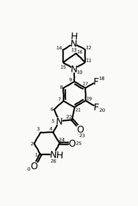 O=C1CCC(N2Cc3cc(N4C5CNCC4C5)c(F)c(F)c3C2=O)C(=O)N1